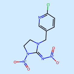 O=[N+]([O-])N=C1N(Cc2ccc(Cl)nc2)CCN1[N+](=O)[O-]